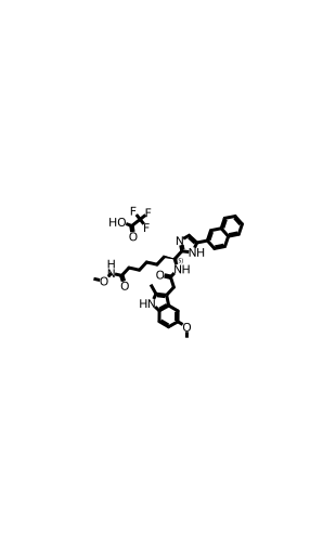 CONC(=O)CCCCC[C@H](NC(=O)Cc1c(C)[nH]c2ccc(OC)cc12)c1ncc(-c2ccc3ccccc3c2)[nH]1.O=C(O)C(F)(F)F